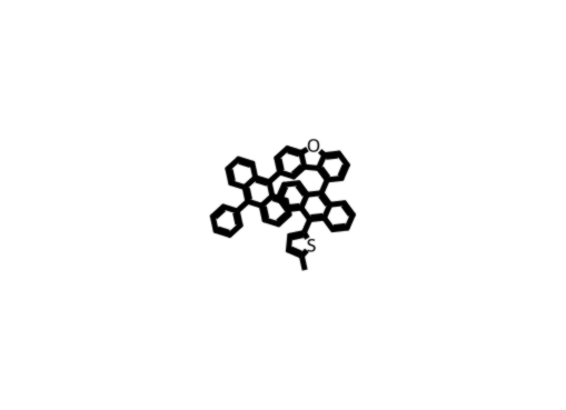 Cc1ccc(-c2c3ccccc3c(-c3cccc4oc5ccc(-c6c7ccccc7c(-c7ccccc7)c7ccccc67)cc5c34)c3ccccc23)s1